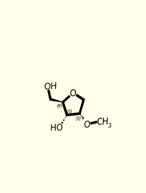 CO[C@H]1CO[C@H](CO)[C@H]1O